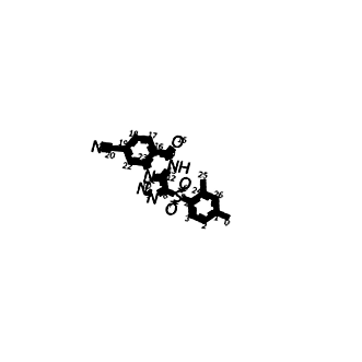 Cc1ccc(S(=O)(=O)c2nnn3c2[nH]c(=O)c2ccc(C#N)cc23)c(C)c1